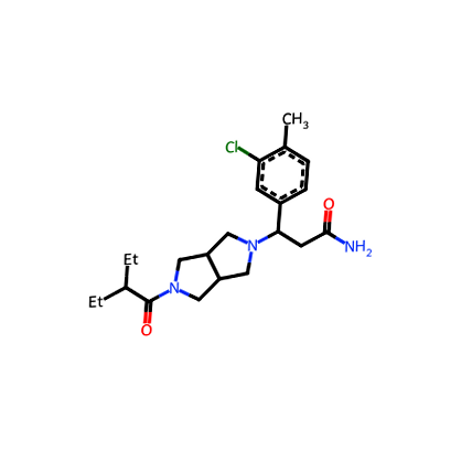 CCC(CC)C(=O)N1CC2CN(C(CC(N)=O)c3ccc(C)c(Cl)c3)CC2C1